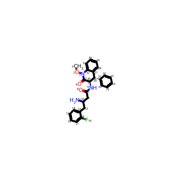 CON1C(=O)[C@H](NC(=O)CC(N)Cc2ccccc2F)[C@@H](c2ccccc2)c2ccccc21